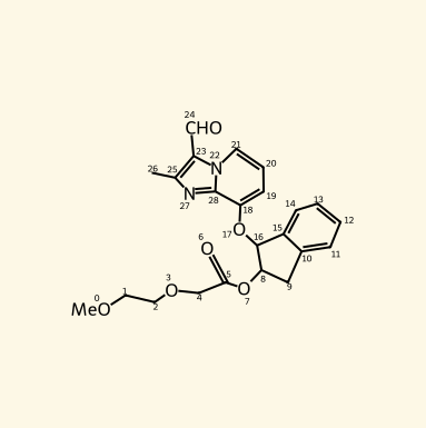 COCCOCC(=O)OC1Cc2ccccc2C1Oc1cccn2c(C=O)c(C)nc12